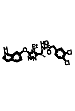 CCn1c(Oc2ccc3cc[nH]c3c2)nnc1[C@@H](C)NS(=O)(=O)Cc1ccc(Cl)c(Cl)c1